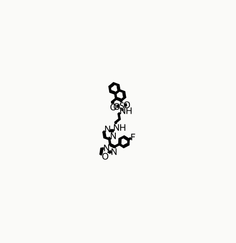 O=Cc1c(S(=O)(=O)NCCCNc2nccc(-c3c(-c4ccc(F)cc4)nc4occn34)n2)ccc2ccccc12